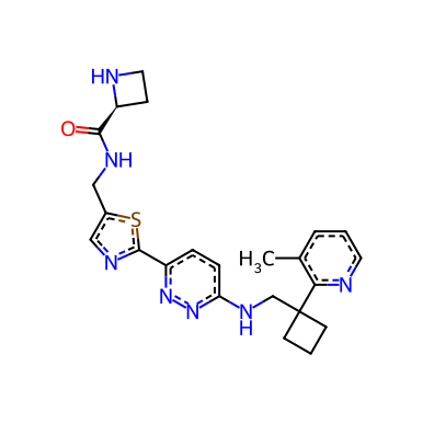 Cc1cccnc1C1(CNc2ccc(-c3ncc(CNC(=O)[C@@H]4CCN4)s3)nn2)CCC1